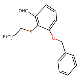 CCOC(=O)CSc1c(C=O)cccc1OCc1ccccc1